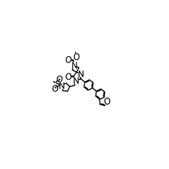 COC(=O)N1CC2(C1)N=C(c1ccc(-c3ccc4occc4c3)cc1)N(CC1CCN(S(C)(=O)=O)C1)C2=O